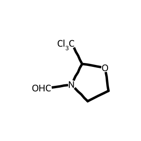 O=CN1CCOC1C(Cl)(Cl)Cl